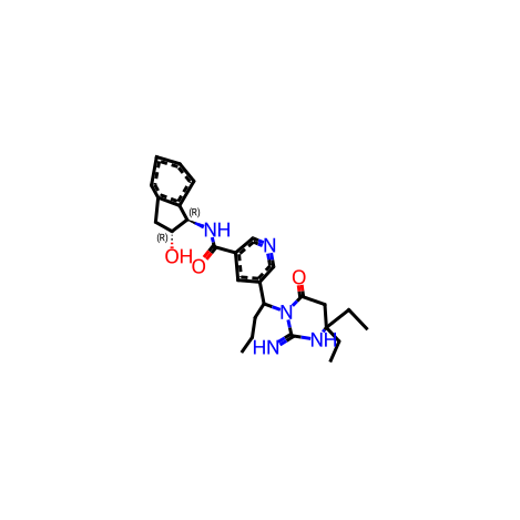 CCCC(c1cncc(C(=O)N[C@@H]2c3ccccc3C[C@H]2O)c1)N1C(=N)NC(CC)(CC)CC1=O